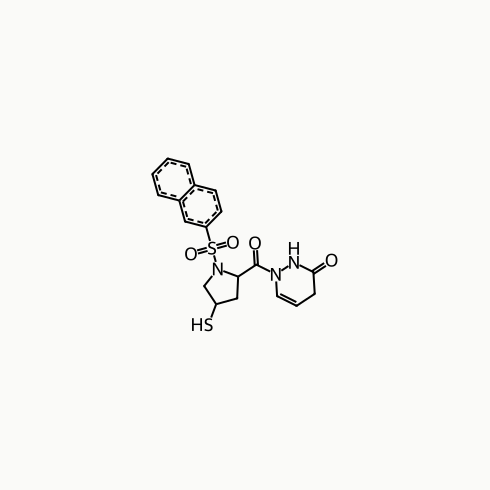 O=C1CC=CN(C(=O)C2CC(S)CN2S(=O)(=O)c2ccc3ccccc3c2)N1